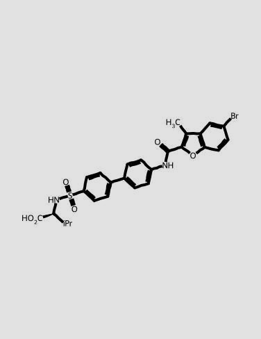 Cc1c(C(=O)Nc2ccc(-c3ccc(S(=O)(=O)N[C@H](C(=O)O)C(C)C)cc3)cc2)oc2ccc(Br)cc12